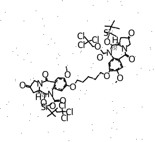 COc1cc2c(cc1OCCCCCOc1cc3c(cc1OC)C(=O)N1CC(=O)C[C@H]1[C@H](O[Si](C)(C)C(C)(C)C)N3C(=O)OCC(Cl)(Cl)Cl)N(C(=O)OCC(Cl)(Cl)Cl)[C@@H](O[Si](C)(C)C(C)(C)C)[C@@H]1CC(=O)CN1C2=O